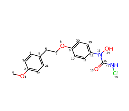 COc1ccc(CCOc2ccc(N(O)C(=O)NCl)cc2)cc1